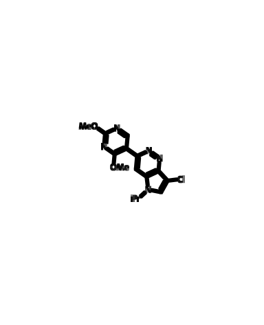 COc1ncc(-c2cc3c(nn2)c(Cl)cn3C(C)C)c(OC)n1